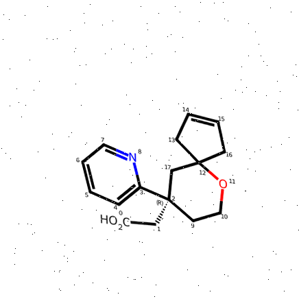 O=C(O)C[C@@]1(c2ccccn2)CCOC2(CC=CC2)C1